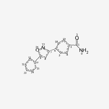 NC(=O)c1ccc(-c2cc(-c3ccccc3)on2)cc1